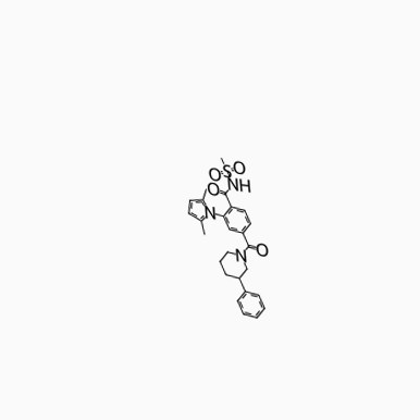 Cc1ccc(C)n1-c1cc(C(=O)N2CCCC(c3ccccc3)C2)ccc1C(=O)NS(C)(=O)=O